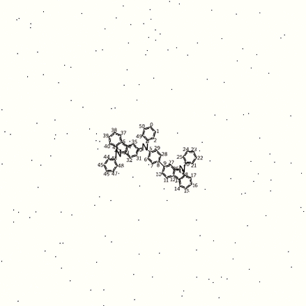 c1ccc(N(c2ccc(-c3ccc4c5ccccc5n(-c5ccccc5)c4c3)cc2)c2ccc3c(c2)c2ccccc2n3-c2ccccc2)cc1